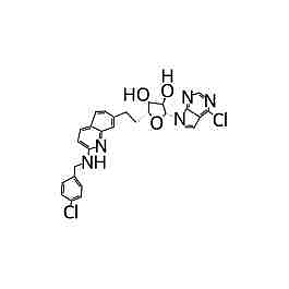 O[C@@H]1[C@H](O)[C@@H](CCc2ccc3ccc(NCc4ccc(Cl)cc4)nc3c2)O[C@H]1n1ccc2c(Cl)ncnc21